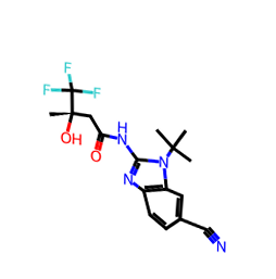 CC(C)(C)n1c(NC(=O)C[C@](C)(O)C(F)(F)F)nc2ccc(C#N)cc21